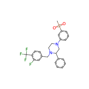 CS(=O)(=O)c1cccc(N2CCN(Cc3ccc(C(F)(F)F)c(F)c3)C(c3ccccc3)C2)c1